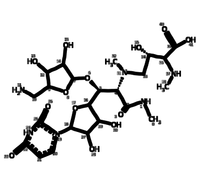 CNC(=O)[C@H]([C@H](OC1OC(CN)C(O)C1O)C1OC(n2ccc(=O)[nH]c2=O)C(O)C1O)N(C)C[C@H](O)C(NC)C(=O)O